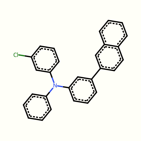 Clc1cccc(N(c2ccccc2)c2cccc(-c3ccc4ccccc4c3)c2)c1